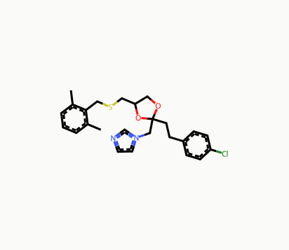 Cc1cccc(C)c1CSCC1COC(CCc2ccc(Cl)cc2)(Cn2ccnc2)O1